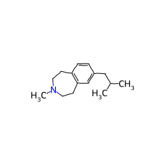 CC(C)Cc1ccc2c(c1)CCN(C)CC2